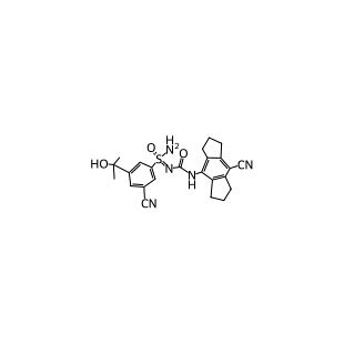 CC(C)(O)c1cc(C#N)cc(S(N)(=O)=NC(=O)Nc2c3c(c(C#N)c4c2CCC4)CCC3)c1